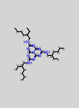 CCCCC(CC)CNC1=NC2=NC(NCC(CC)CCCC)=NC3=NC(NCC(CC)CCCC)=NC(=N1)N23